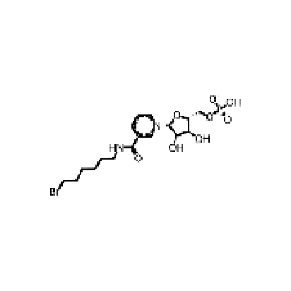 O=C(NCCCCCCBr)c1ccc[n+]([C@@H]2O[C@H](COP(=O)([O-])O)[C@@H](O)[C@H]2O)c1